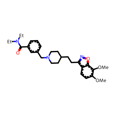 CCN(CC)C(=O)c1cccc(CN2CCC(CCc3noc4c(OC)c(OC)ccc34)CC2)c1